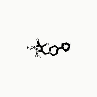 Cn1c(CN2CC=C(c3ccccc3)CC2)c(Cl)c(=O)n1C